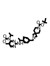 CC(Nc1ncc2c(n1)N(C(C)C)C(=O)OC2)c1ccc(CN2CC3(CCN(C(=O)OC(C)(C)C)CC3)C2)cc1